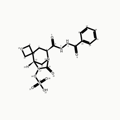 O=C(NNC(=O)[C@@H]1CC2(COC2)[C@@H]2CN1C(=O)N2OS(=O)(=O)O)c1ccccc1